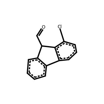 O=CC1c2ccccc2-c2cccc(Cl)c21